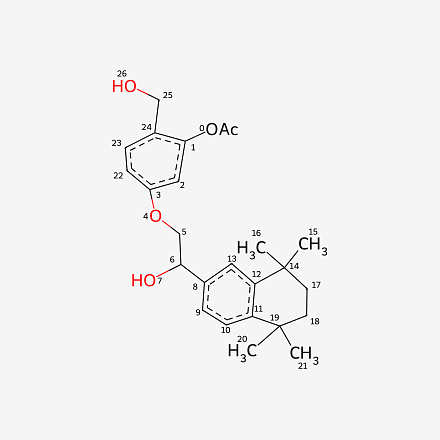 CC(=O)Oc1cc(OCC(O)c2ccc3c(c2)C(C)(C)CCC3(C)C)ccc1CO